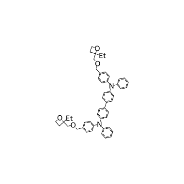 CCC1(COCc2ccc(N(c3ccccc3)c3ccc(-c4ccc(N(c5ccccc5)c5ccc(COCC6(CC)CCO6)cc5)cc4)cc3)cc2)CCO1